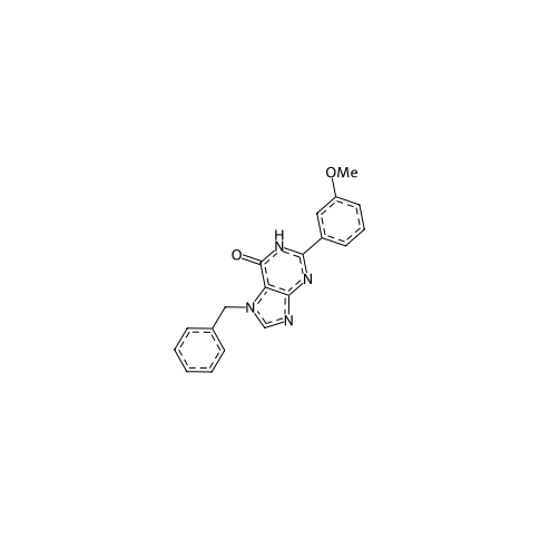 COc1cccc(-c2nc3ncn(Cc4ccccc4)c3c(=O)[nH]2)c1